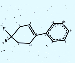 FC1(F)CC=C(c2ccccc2)CC1